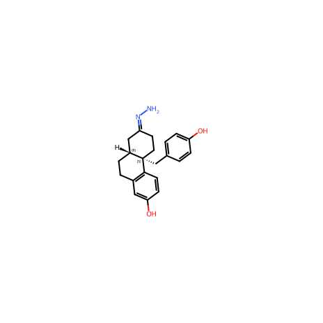 NN=C1CC[C@@]2(Cc3ccc(O)cc3)c3ccc(O)cc3CC[C@@H]2C1